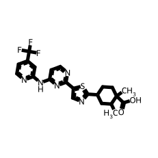 CC1CC(c2ncc(-c3nccc(Nc4cc(C(F)(F)F)ccn4)n3)s2)CCC1(C)C(=O)O